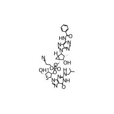 CC(C)CNc1nc2c(ncn2[C@@H]2S[C@H](CO)[C@@H](C)[C@H]2OP(=O)(OCCC#N)OC[C@]23C[C@@H]2[C@@H](n2cnc4c(NC(=O)c5ccccc5)ncnc42)[C@H](C)[C@@H]3O)c(=O)[nH]1